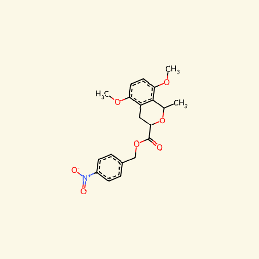 COc1ccc(OC)c2c1CC(C(=O)OCc1ccc([N+](=O)[O-])cc1)OC2C